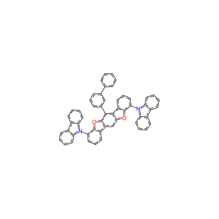 c1ccc(-c2cccc(-c3c4oc5c(-n6c7ccccc7c7ccccc76)cccc5c4cc4oc5c(-n6c7ccccc7c7ccccc76)cccc5c34)c2)cc1